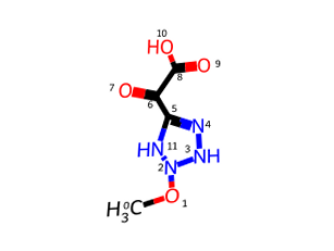 CON1NN=C(C(=O)C(=O)O)N1